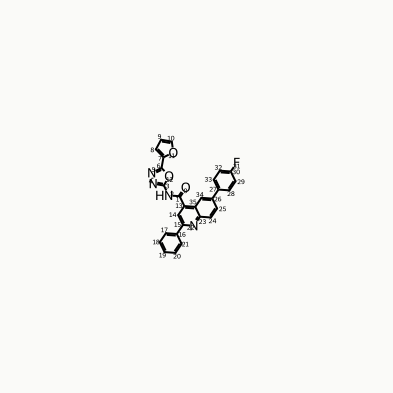 O=C(Nc1nnc(-c2ccco2)o1)c1cc(-c2ccccc2)nc2ccc(-c3ccc(F)cc3)cc12